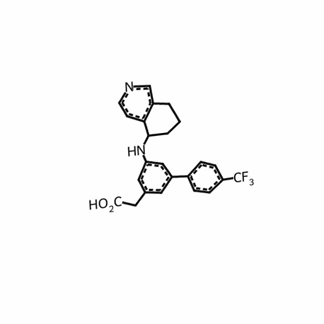 O=C(O)Cc1cc(NC2CCCc3cnccc32)cc(-c2ccc(C(F)(F)F)cc2)c1